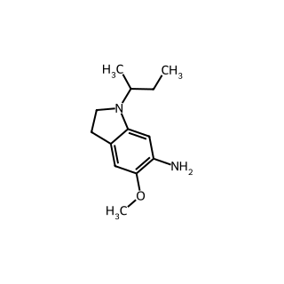 CCC(C)N1CCc2cc(OC)c(N)cc21